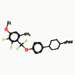 CCCCCC1CCC(c2ccc(OC(F)(F)c3c(C)cc(OCC)c(F)c3F)cc2)CC1